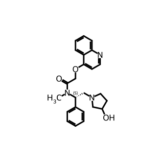 CN(C(=O)COc1ccnc2ccccc12)[C@H](CN1CCC(O)C1)c1ccccc1